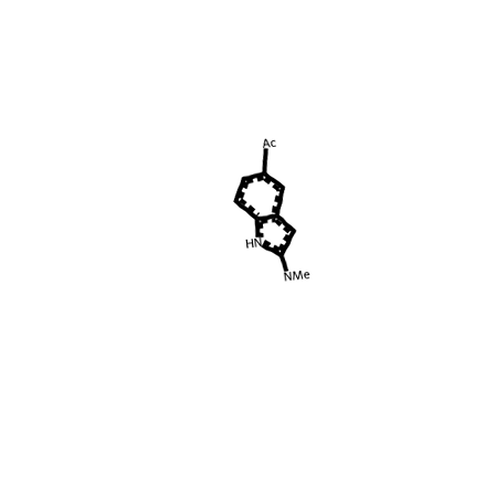 CNc1cc2cc(C(C)=O)ccc2[nH]1